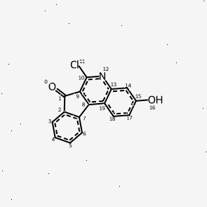 O=C1c2ccccc2-c2c1c(Cl)nc1cc(O)ccc21